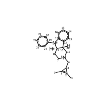 CC1=C(C)C1CN1CC[C@@H]2[C@@H](C1)c1ccccc1N2c1ccccc1